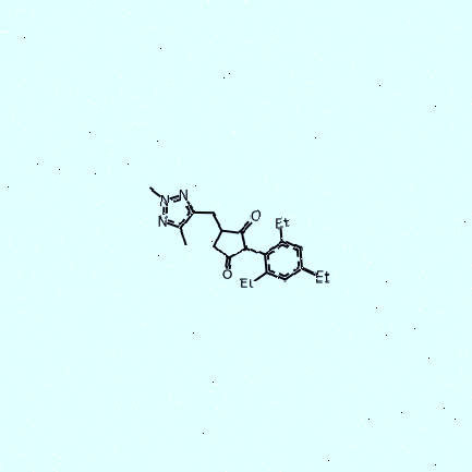 CCc1cc(CC)c(C2C(=O)CC(Cc3nn(C)nc3C)C2=O)c(CC)c1